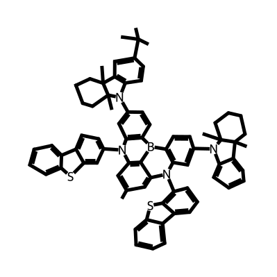 Cc1cc2c3c(c1)N(c1cccc4c1sc1ccccc14)c1cc(N4c5ccccc5C5(C)CCCCC45C)ccc1B3c1ccc(N3c4ccc(C(C)(C)C)cc4C4(C)CCCCC34C)cc1N2c1ccc2c(c1)sc1ccccc12